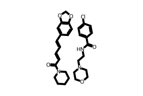 O=C(/C=C/C=C/c1ccc2c(c1)OCO2)N1CCCCC1.O=C(NCCN1CCOCC1)c1ccc(Cl)cc1